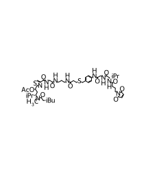 CC[C@H](C)CC(=O)N(C)[C@H](C[C@@H](OC(C)=O)c1nc(C(=O)NCC(=O)NCCCNC(=O)CCSCc2ccc(NC(=O)CNC(=O)[C@@H](NC(=O)CCCN3C(=O)C=CC3=O)C(C)C)cc2)cs1)C(C)C